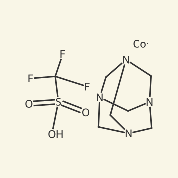 C1N2CN3CN1CN(C2)C3.O=S(=O)(O)C(F)(F)F.[Co]